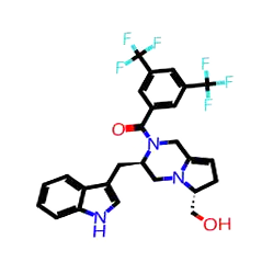 O=C(c1cc(C(F)(F)F)cc(C(F)(F)F)c1)N1CC2=CC[C@H](CO)N2C[C@H]1Cc1c[nH]c2ccccc12